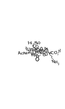 CC(=O)N[C@H](C(=O)N[C@@H](CC(C)C)C(=O)N[C@@H](CCC(N)=O)C(=O)N[C@@H](Cc1c[nH]c2ccccc12)C(=O)N[C@H](C(=O)N[C@@H](CCCCN)C(=O)O)C(C)C)C(C)C